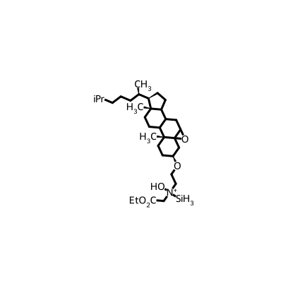 CCOC(=O)C[N+](O)([SiH3])CCO[C@H]1CC[C@]2(C)C3CC[C@@]4(C)C(CC[C@@H]4[C@H](C)CCCC(C)C)C3CC3OC32C1